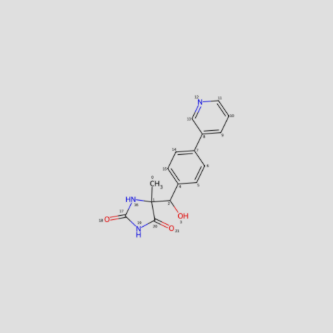 CC1(C(O)c2ccc(-c3cccnc3)cc2)NC(=O)NC1=O